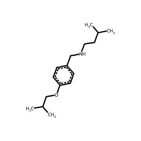 CC(C)CCNCc1ccc(OCC(C)C)cc1